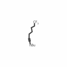 [CH2]CCCC#CCCCCC(F)(F)F